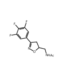 CC(=O)NCC1CC(c2cc(F)c(F)c(F)c2)=NO1